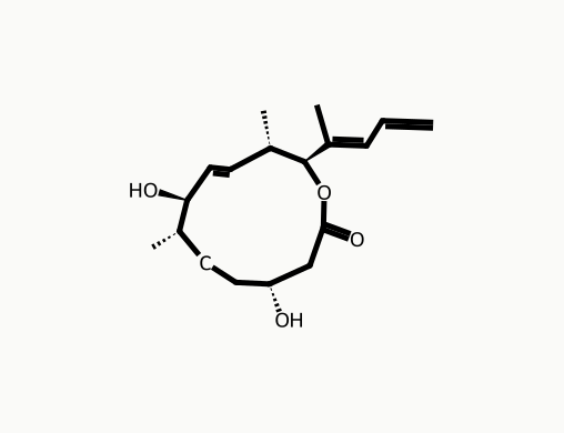 C=C/C=C(\C)[C@H]1OC(=O)C[C@H](O)CC[C@H](C)[C@@H](O)/C=C/[C@@H]1C